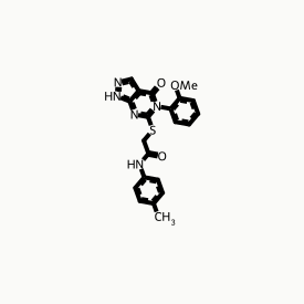 COc1ccccc1-n1c(SCC(=O)Nc2ccc(C)cc2)nc2[nH]ncc2c1=O